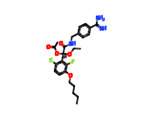 CCCCCOc1ccc(F)c([C@](OCC)(OC(C)=O)C(=O)NCc2ccc(C(=N)N)cc2)c1F